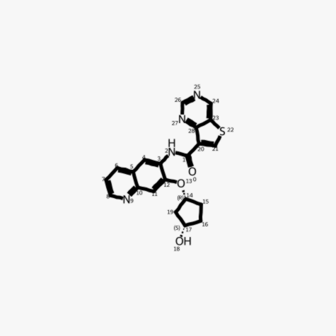 O=C(Nc1cc2cccnc2cc1O[C@@H]1CC[C@H](O)C1)c1csc2cncnc12